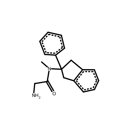 CN(C(=O)CN)C1(c2ccccc2)Cc2ccccc2C1